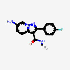 CNC(=O)c1c(-c2ccc(F)cc2)nn2cc(N)ccc12